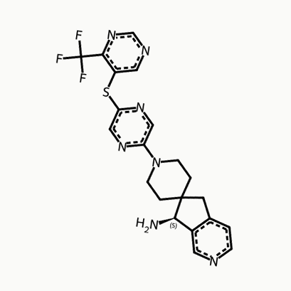 N[C@@H]1c2cnccc2CC12CCN(c1cnc(Sc3cncnc3C(F)(F)F)cn1)CC2